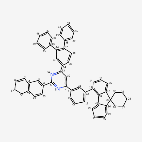 C1=Cc2cc(-c3nc(-c4cccc(-c5cccc6c5-c5ccccc5C65CCCCC5)c4)cc(-c4ccc(-c5ccccc5)c(-c5ccccc5)c4)n3)ccc2CC1